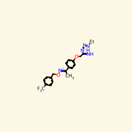 CCN/N=N\C(=N)COc1ccc(/C(C)=N/OCc2ccc(C(F)(F)F)cc2)cc1